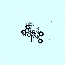 CCc1ncc(-c2cccnc2-c2nnc(NC3N=C(c4ccccc4)c4ccccc4NC3=O)o2)cn1